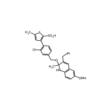 COc1ccc2c(c1)C=C(CC(C)C)C(C)(OCc1ccc(-c3cc(C)sc3S(=O)(=O)O)c(Cl)c1)N2